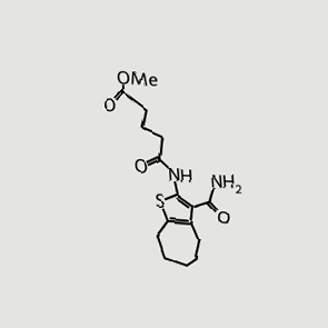 COC(=O)CCCC(=O)Nc1sc2c(c1C(N)=O)CCCCC2